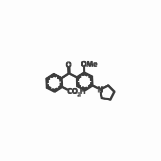 COc1cc(N2CCCC2)ccc1C(=O)c1ccccc1C(=O)O